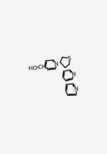 C1CCSC1.CO.c1ccncc1.c1ccncc1.c1ccncc1